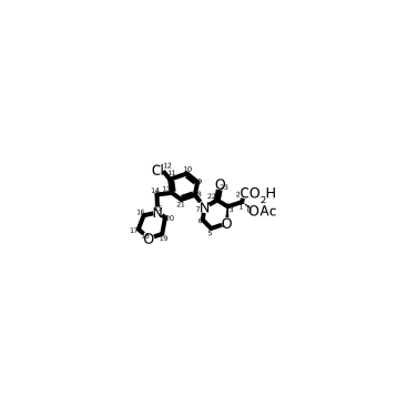 CC(=O)O[C@@H](C(=O)O)[C@H]1OCCN(c2ccc(Cl)c(CN3CCOCC3)c2)C1=O